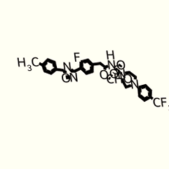 Cc1ccc(-c2nc(-c3ccc(CC(NS(=O)(=O)N4CCN(c5ccc(C(F)(F)F)cc5)CC4)OC=O)cc3F)no2)cc1